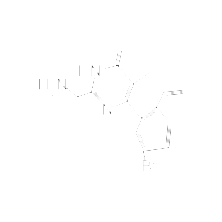 C=Cc1ccc(Br)cc1C1=C(C)C(=C)NC(CN)=N1